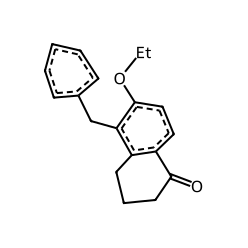 CCOc1ccc2c(c1Cc1ccccc1)CCCC2=O